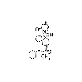 CC(CC1CCCCC1)C(=O)N1CCC(O)(Cn2ccncc2=O)C2(CCCC2)C1